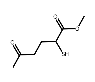 COC(=O)C(S)CCC(C)=O